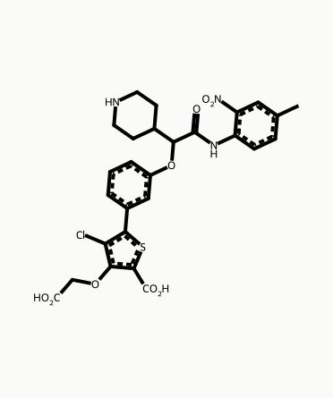 Cc1ccc(NC(=O)C(Oc2cccc(-c3sc(C(=O)O)c(OCC(=O)O)c3Cl)c2)C2CCNCC2)c([N+](=O)[O-])c1